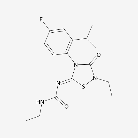 CCNC(=O)/N=c1\sn(CC)c(=O)n1-c1ccc(F)cc1C(C)C